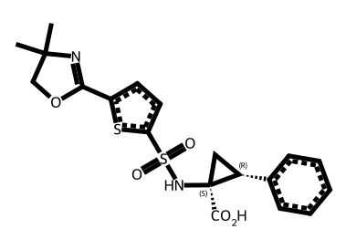 CC1(C)COC(c2ccc(S(=O)(=O)N[C@@]3(C(=O)O)C[C@@H]3c3ccccc3)s2)=N1